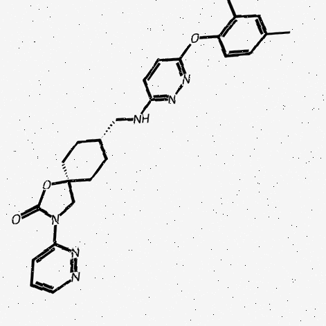 Cc1ccc(Oc2ccc(NC[C@H]3CC[C@]4(CC3)CN(c3cccnn3)C(=O)O4)nn2)c(C)c1